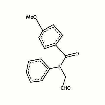 COc1ccc(C(=O)N(C[C]=O)c2ccccc2)cc1